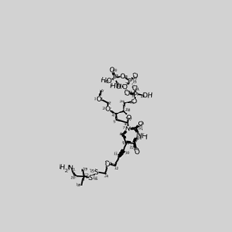 COCOC1C[C@H](n2cc(C#CCOCSSC(C)(C)CN)c(=O)[nH]c2=O)O[C@@H]1COP(=O)(O)OP(=O)(O)OP(=O)(O)O